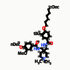 CCCCCCCCCCCCCCCCOc1ccc(C(=O)NCC2(CNC(=O)c3ccc(OCCCCCCCCCC)c(OC)c3)C=C[N+](C)(C)C=C2)cc1C(C)(C)C